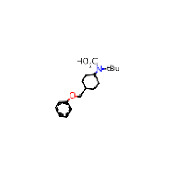 CC(C)(C)N(C(=O)O)C1CCC(COc2ccccc2)CC1